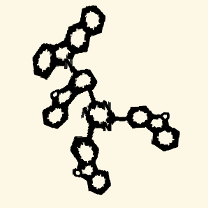 c1ccc2cc3c(cc2c1)c1ccccc1n3-c1ccc(-c2nc(-c3ccc4oc5ccccc5c4c3)nc(-c3ccc4oc5ccccc5c4c3)n2)c2c1oc1ccccc12